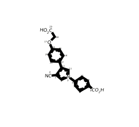 N#Cc1cn(-c2ccc(C(=O)O)cc2)cc1-c1ccc(OCC(=O)O)cc1